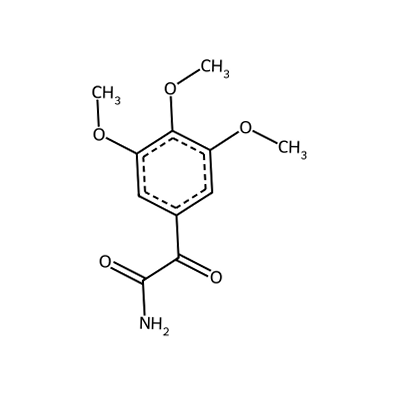 COc1cc(C(=O)C(N)=O)cc(OC)c1OC